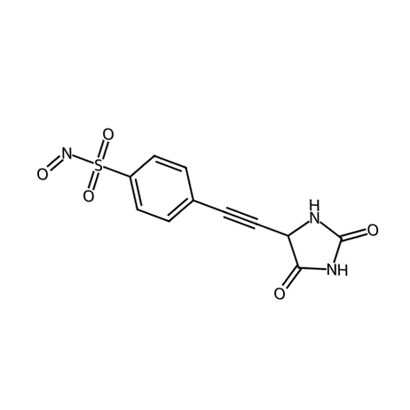 O=NS(=O)(=O)c1ccc(C#CC2NC(=O)NC2=O)cc1